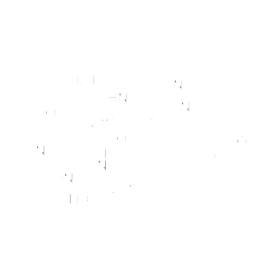 Cc1oc2ncnc(NC3(C)CC3)c2c1C(=O)Nc1cnn(C2CCOCC2)c1